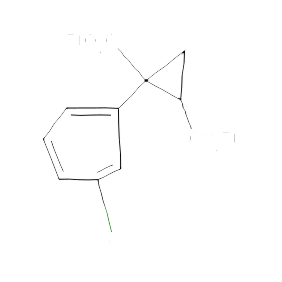 CCOC(=O)C1CC1(C(=O)OCC)c1cccc(Cl)c1